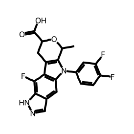 CC1OC(C(=O)O)Cc2c1n(-c1ccc(F)c(F)c1)c1cc3cn[nH]c3c(F)c21